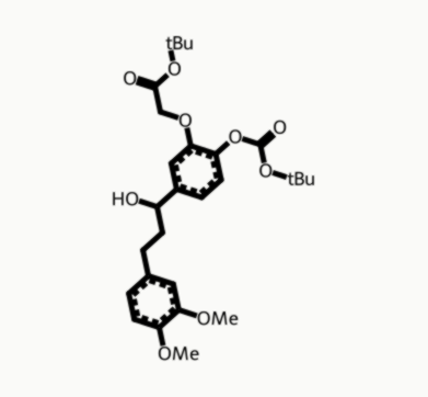 COc1ccc(CCC(O)c2ccc(OC(=O)OC(C)(C)C)c(OCC(=O)OC(C)(C)C)c2)cc1OC